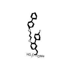 CO[C@@H](Cc1ccc(OCCCOc2ccc(-c3ccccc3)cc2)c(-c2ccc(F)cc2)c1)C(=O)O